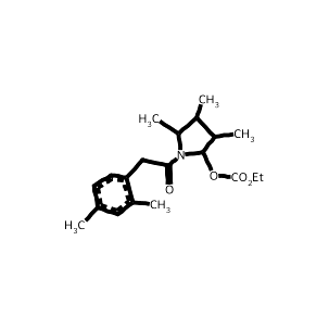 CCOC(=O)OC1C(C)C(C)C(C)N1C(=O)Cc1ccc(C)cc1C